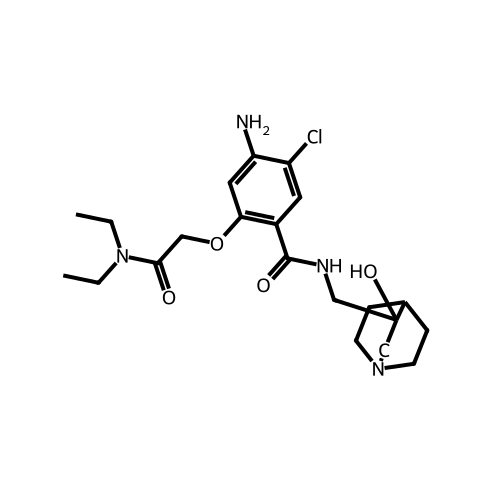 CCN(CC)C(=O)COc1cc(N)c(Cl)cc1C(=O)NCC1(O)CN2CCC1CC2